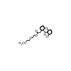 COCCOCCOC(=O)Cc1ccccc1Nc1c(Cl)cccc1Cl